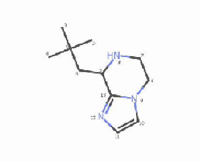 CC(C)(C)CC1NCCn2ccnc21